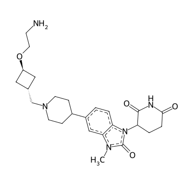 Cn1c(=O)n(C2CCC(=O)NC2=O)c2ccc(C3CCN(C[C@H]4C[C@H](OCCN)C4)CC3)cc21